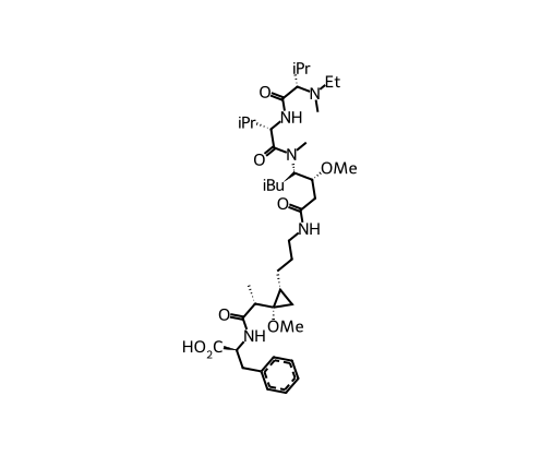 CC[C@H](C)[C@@H]([C@@H](CC(=O)NCCC[C@@H]1C[C@@]1(OC)[C@@H](C)C(=O)N[C@@H](Cc1ccccc1)C(=O)O)OC)N(C)C(=O)[C@@H](NC(=O)[C@H](C(C)C)N(C)CC)C(C)C